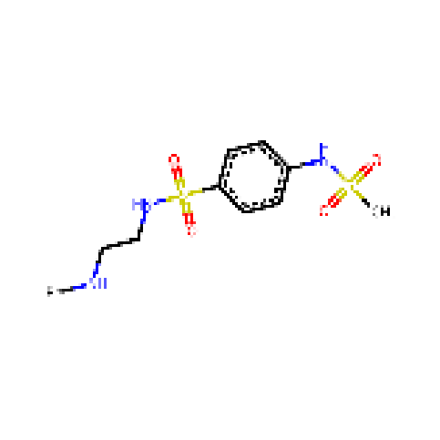 CC(C)NCCNS(=O)(=O)c1ccc(NS(C)(=O)=O)cc1